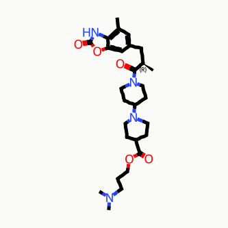 Cc1cc(C[C@@H](C)C(=O)N2CCC(N3CCC(C(=O)OCCCN(C)C)CC3)CC2)cc2oc(=O)[nH]c12